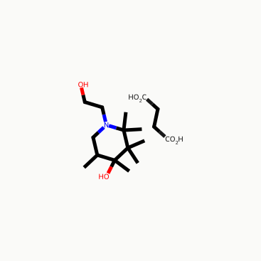 CC1CN(CCO)C(C)(C)C(C)(C)C1(C)O.O=C(O)CCC(=O)O